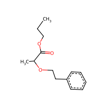 CCCOC(=O)C(C)OCCc1ccccc1